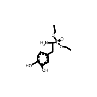 CCOP(=O)(OCC)C(N)Cc1ccc(O)c(O)c1